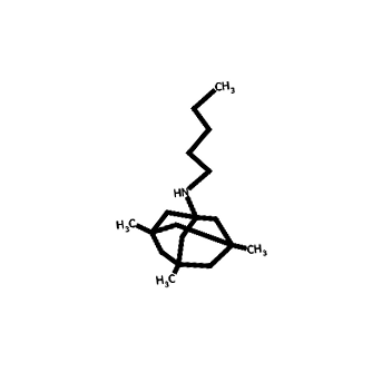 CCCCCNC12CC3(C)CC(C)(CC(C)(C3)C1)C2